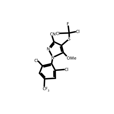 COc1c(SC(F)(Cl)Cl)c(C#N)nn1-c1c(Cl)cc(C(F)(F)F)cc1Cl